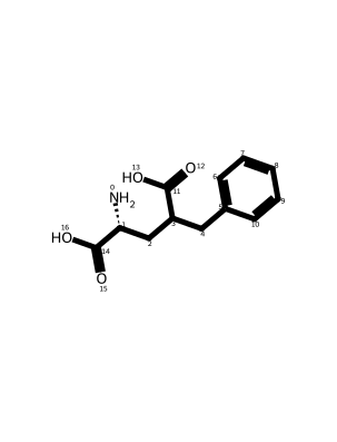 N[C@H](CC(Cc1ccccc1)C(=O)O)C(=O)O